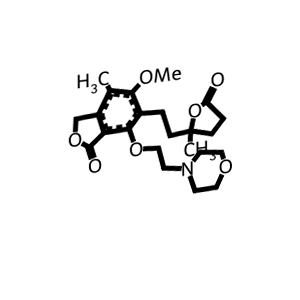 COc1c(C)c2c(c(OCCN3CCOCC3)c1CCC1(C)CCC(=O)O1)C(=O)OC2